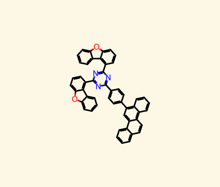 c1ccc2c(c1)ccc1c3ccccc3c(-c3ccc(-c4nc(-c5cccc6oc7ccccc7c56)nc(-c5cccc6oc7ccccc7c56)n4)cc3)cc21